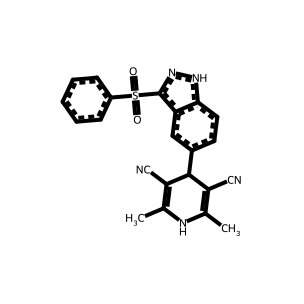 CC1=C(C#N)C(c2ccc3[nH]nc(S(=O)(=O)c4ccccc4)c3c2)C(C#N)=C(C)N1